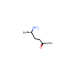 COC(=O)CC[C@H](N)C(C)=O